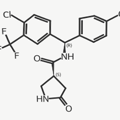 O=C1C[C@H](C(=O)N[C@H](c2ccc(Cl)cc2)c2ccc(Cl)c(C(F)(F)F)c2)CN1